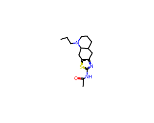 CCCN1CCCC2Cc3nc(NC(C)=O)sc3CC21